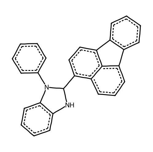 c1ccc(N2c3ccccc3NC2c2ccc3c4c(cccc24)-c2ccccc2-3)cc1